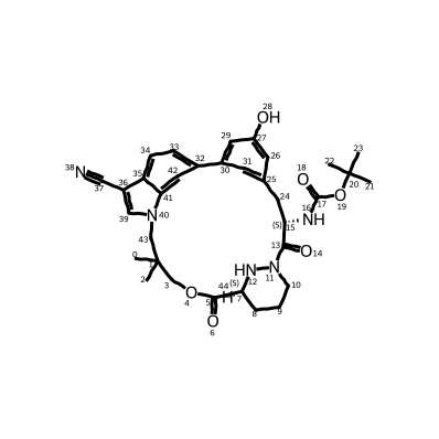 CC1(C)COC(=O)[C@@H]2CCCN(N2)C(=O)[C@@H](NC(=O)OC(C)(C)C)Cc2cc(O)cc(c2)-c2ccc3c(C#N)cn(c3c2)C1